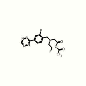 O=C(CN(CCF)Cc1ccc(-c2nncnn2)cc1F)OC(=O)C(F)(F)F